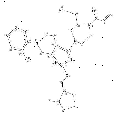 C=CC(O)N1CCN(c2nc(OC[C@H]3CCCN3C)nc3c2CCN(c2ccccc2C(F)(F)F)C3)CC1CC#N